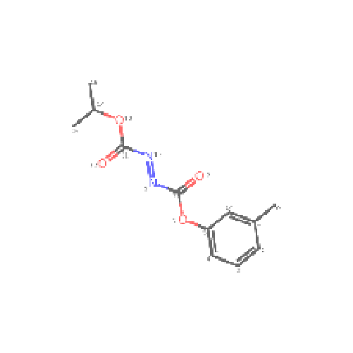 Cc1cccc(OC(=O)N=NC(=O)OC(C)C)c1